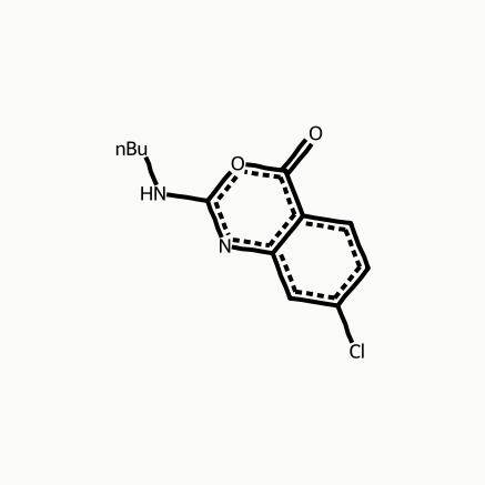 CCCCNc1nc2cc(Cl)ccc2c(=O)o1